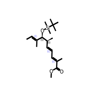 C/C=C(\C)[C@@H](O[Si](C)(C)C(C)(C)C)[C@@H](C)/C=C/C=C(\C)C(=O)OC